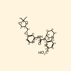 CC1(C)OC[C@H](COc2ccnc(NC(=O)N3c4nc(C(=O)O)ccc4N4CCCC3C4)c2)O1